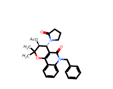 CC(=O)O[C@H]1[C@H](N2CCCC2=O)c2c(c3ccccc3n(Cc3ccccc3)c2=O)OC1(C)C